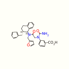 NC(=O)N(CC(=O)N(Cc1ccco1)[C@@H]1c2ccccc2CC[C@H]1Cc1ccccc1)c1cccc(C(=O)O)c1